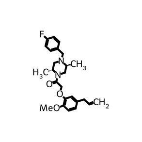 C=CCc1ccc(OC)c(OCC(=O)N2C[C@H](C)N(Cc3ccc(F)cc3)C[C@H]2C)c1